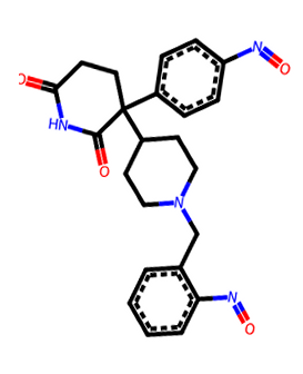 O=Nc1ccc(C2(C3CCN(Cc4ccccc4N=O)CC3)CCC(=O)NC2=O)cc1